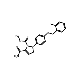 CC(C)(C)OC(=O)N1C(C(N)=O)=CC[C@@H]1c1ccc(OCc2ccccc2F)cc1